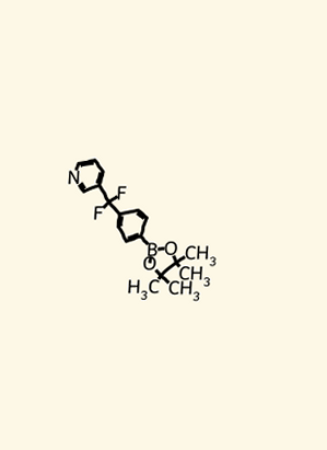 CC1(C)OB(c2ccc(C(F)(F)c3cccnc3)cc2)OC1(C)C